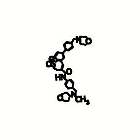 CN(Cc1ccc(NC(=O)C2=Cc3cc(-c4ccc(CN5CCOCC5)cc4)ccc3S(=O)(=O)CC2)cc1)C1CCOCC1